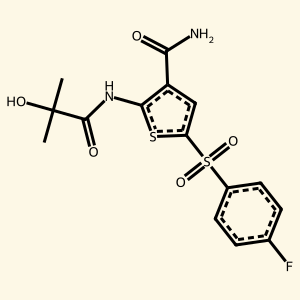 CC(C)(O)C(=O)Nc1sc(S(=O)(=O)c2ccc(F)cc2)cc1C(N)=O